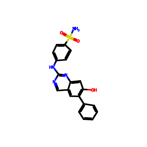 NS(=O)(=O)c1ccc(Nc2ncc3cc(-c4ccccc4)c(O)cc3n2)cc1